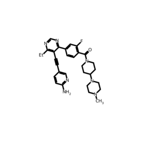 CCc1ncnc(-c2ccc(C(=O)N3CCC(N4CCN(C)CC4)CC3)c(F)c2)c1C#Cc1ccc(N)nc1